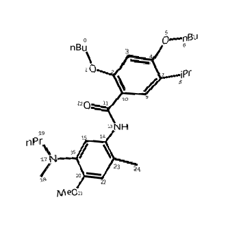 CCCCOc1cc(OCCCC)c(C(C)C)cc1C(=O)Nc1cc(N(C)CCC)c(OC)cc1C